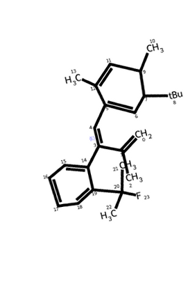 C=C(C)/C(=C\C1=CC(C(C)(C)C)C(C)C=C1C)c1ccccc1C(C)(C)F